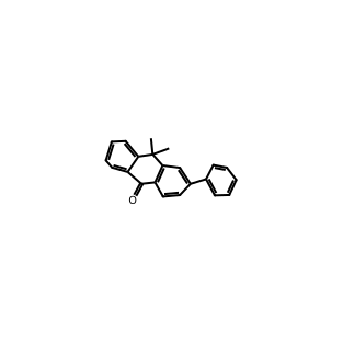 CC1(C)c2ccccc2C(=O)c2ccc(-c3ccccc3)cc21